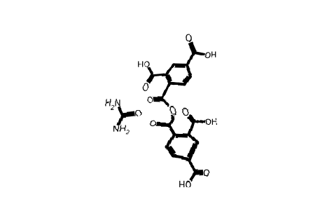 NC(N)=O.O=C(O)c1ccc(C(=O)OC(=O)c2ccc(C(=O)O)cc2C(=O)O)c(C(=O)O)c1